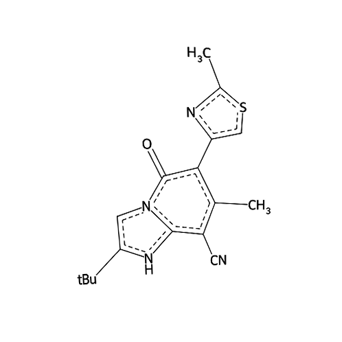 Cc1nc(-c2c(C)c(C#N)c3[nH]c(C(C)(C)C)cn3c2=O)cs1